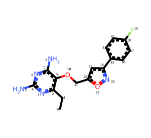 CCc1nc(N)nc(N)c1OCc1cc(-c2ccc(F)cc2)no1